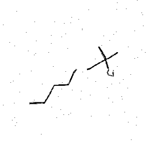 CCCCC.[Li][C](C)(C)C